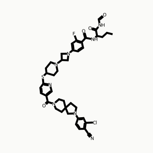 CCCC(NC(=O)c1ccc(N2CC(N3CCC(Sc4ccc(C(=O)N5CCC6(CC5)CCN(c5ccc(C#N)c(Cl)c5)C6)cn4)CC3)C2)cc1F)C(=O)NC=O